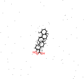 C[C@H]1CCC[C@]2(C)CC[C@]3(C)C(=CCC4[C@@]5(C)CC[C@@H](O)[C@](C)(C(=O)O)C5CC[C@]43C)C12